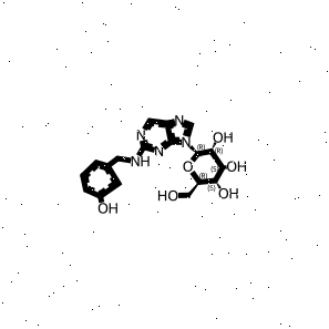 OC[C@H]1O[C@@H](n2cnc3cnc(NCc4cccc(O)c4)nc32)[C@H](O)[C@@H](O)[C@@H]1O